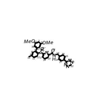 COc1cc(OC)cc(-c2cc(C)ccc2[S+]([O-])c2cccc(C(=O)NCc3ccc(-c4nncnn4)cc3)n2)c1